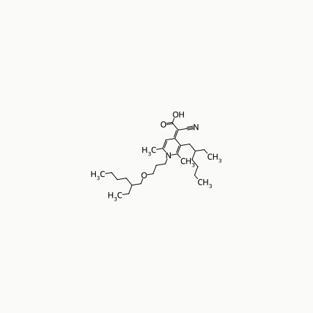 CCCCC(CC)COCCCN1C(C)=CC(=C(C#N)C(=O)O)C(CC(CC)CCCC)=C1C